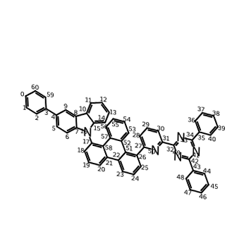 c1ccc(-c2ccc3c(c2)c2ccccc2n3-c2cccc3c4cccc(-c5cccc(-c6nc(-c7ccccc7)nc(-c7ccccc7)n6)n5)c4c4ccccc4c23)cc1